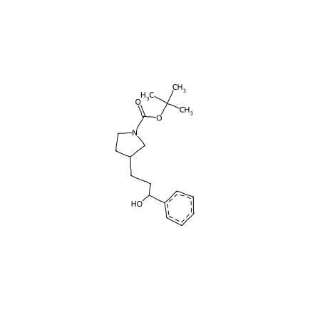 CC(C)(C)OC(=O)N1CCC(CCC(O)c2ccccc2)C1